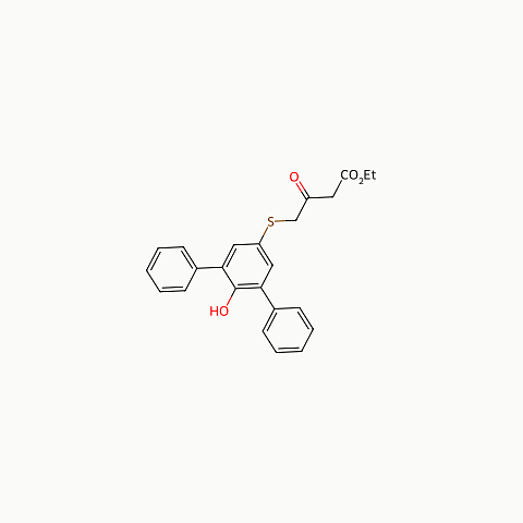 CCOC(=O)CC(=O)CSc1cc(-c2ccccc2)c(O)c(-c2ccccc2)c1